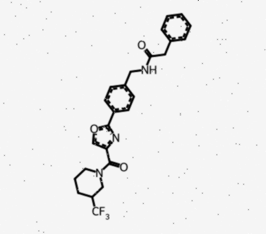 O=C(Cc1ccccc1)NCc1ccc(-c2nc(C(=O)N3CCCC(C(F)(F)F)C3)co2)cc1